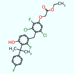 CCOC(=O)COc1cc(Cl)c(Cc2ccc(O)c(C(C)(C)c3ccc(F)cc3)c2F)c(Cl)c1F